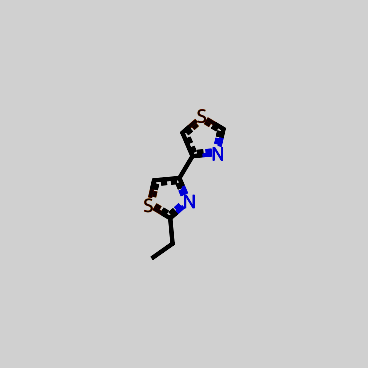 CCc1nc(-c2cscn2)cs1